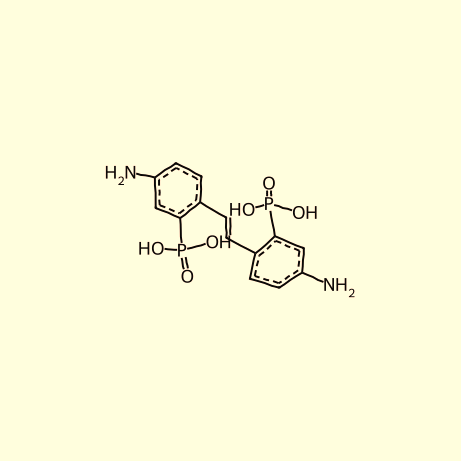 Nc1ccc(/C=C/c2ccc(N)cc2P(=O)(O)O)c(P(=O)(O)O)c1